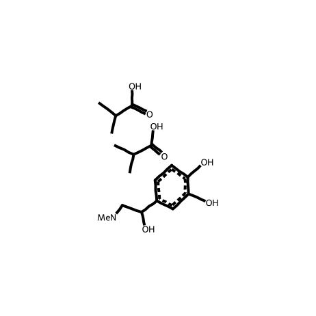 CC(C)C(=O)O.CC(C)C(=O)O.CNCC(O)c1ccc(O)c(O)c1